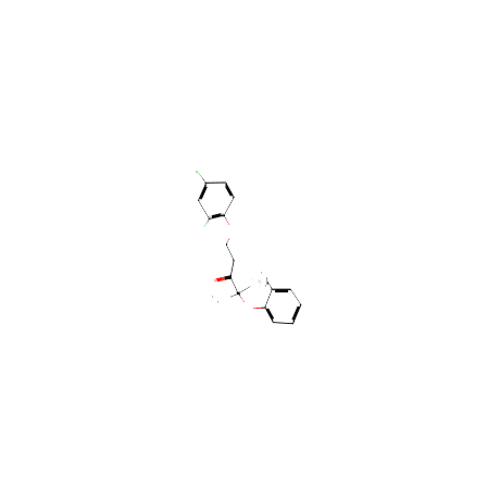 N#CC(C#N)(Oc1ccccc1[N+](=O)[O-])C(=O)CCOc1ccc(Cl)cc1F